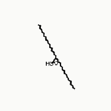 CCCCCCCCCCCCCCCCCCC(CCCCCCCCCCCCCCCCC)CC(=O)O